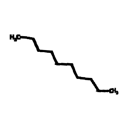 C[CH]CCC[CH]CCCC